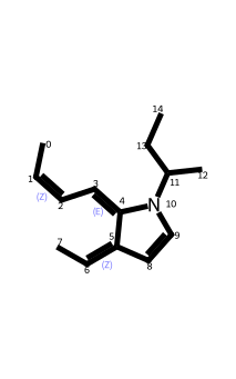 C\C=C/C=c1\c(=C/C)ccn1C(C)CC